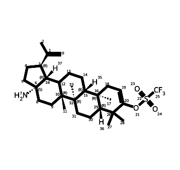 C=C(C)[C@@H]1CC[C@]2(N)CC[C@]3(C)C(CC[C@@H]4[C@@]5(C)CC=C(OS(=O)(=O)C(F)(F)F)C(C)(C)[C@@H]5CC[C@]43C)[C@@H]12